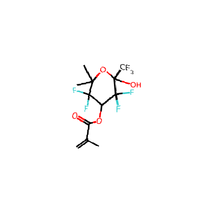 C=C(C)C(=O)OC1C(F)(F)C(C)(C)OC(O)(C(F)(F)F)C1(F)F